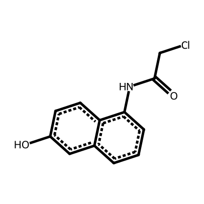 O=C(CCl)Nc1cccc2cc(O)ccc12